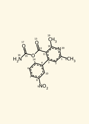 Cc1cc(-c2cccc([N+](=O)[O-])c2)c(C(=O)OC(N)=O)c(C)n1